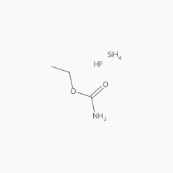 CCOC(N)=O.F.[SiH4]